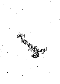 C[C@@H]1CCCN1Cc1sc(NC(=O)c2cnc(N3CCN(CCC(=O)O)[C@@H](C)C3)cn2)nc1-c1cc(Cl)cs1